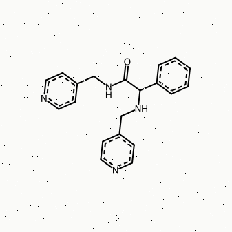 O=C(NCc1ccncc1)C(NCc1ccncc1)c1ccccc1